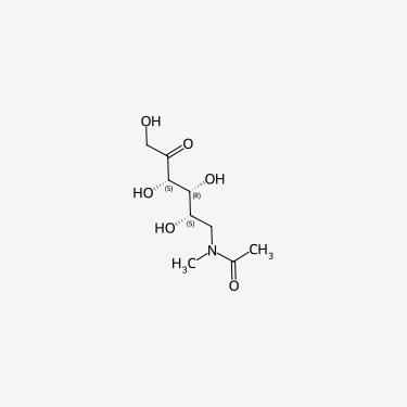 CC(=O)N(C)C[C@H](O)[C@@H](O)[C@H](O)C(=O)CO